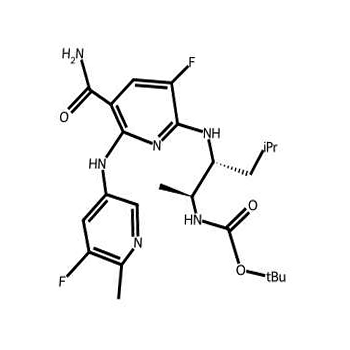 Cc1ncc(Nc2nc(N[C@H](CC(C)C)[C@H](C)NC(=O)OC(C)(C)C)c(F)cc2C(N)=O)cc1F